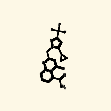 NC(=O)c1cccc2nc(Cn3nc(C(F)(F)F)cc3C3CC3)cc(=O)n12